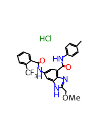 COCc1nc2c(C(=O)Nc3ccc(C)cc3)cc(NC(=O)c3ccccc3C(F)(F)F)cc2[nH]1.Cl